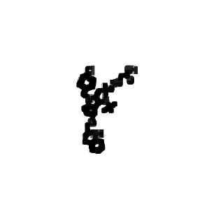 CC(C)(/C=N/OCC(=O)O)CC1C(SC(C)(C)C)c2cc(OCC3CCc4ccccc4N3)ccc2N1Cc1ccc(Cl)cc1